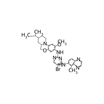 CCC(C)C1CCN2c3cc(OC)c(Nc4ncc(Br)c(Nc5ccc6nccnc6c5C)n4)cc3OCC2C1